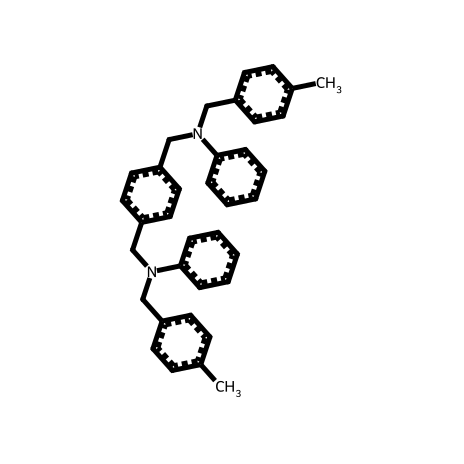 Cc1ccc(CN(Cc2ccc(CN(Cc3ccc(C)cc3)c3ccccc3)cc2)c2ccccc2)cc1